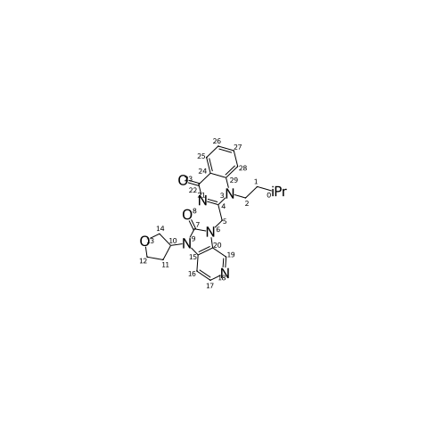 CC(C)CCn1c(Cn2c(=O)n(C3CCOC3)c3ccncc32)nc(=O)c2ccccc21